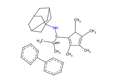 CC1=C(C)C(C)[C]([Ti]([NH]C23CC4CC(CC(C4)C2)C3)[GeH]([CH3])[CH3])=C1C.c1ccc(-c2ccccc2)cc1